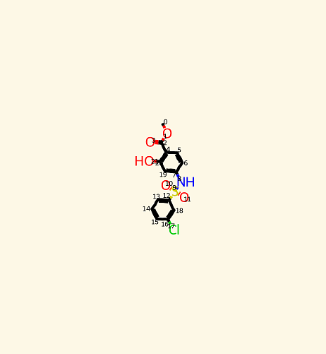 COC(=O)c1ccc(NS(=O)(=O)c2cccc(Cl)c2)cc1O